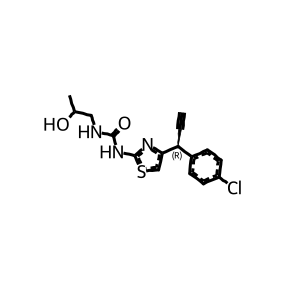 C#C[C@@H](c1ccc(Cl)cc1)c1csc(NC(=O)NCC(C)O)n1